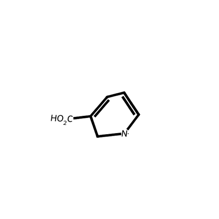 O=C(O)C1=CC=C[N]C1